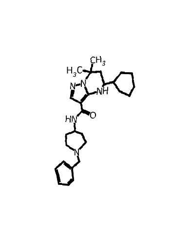 CC1(C)CC(C2CCCCC2)Nc2c(C(=O)NC3CCN(Cc4ccccc4)CC3)cnn21